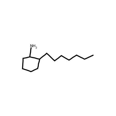 CCCCCCCC1CCCCC1N